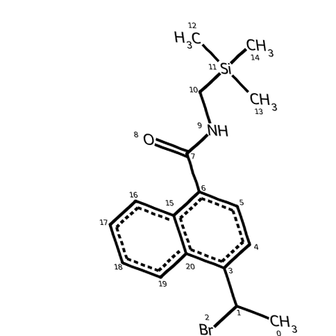 CC(Br)c1ccc(C(=O)NC[Si](C)(C)C)c2ccccc12